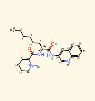 CC(=O)CCCCC[C@H](NC(=O)C1CCCCN1C)C(=O)Nc1cnc2ccccc2c1